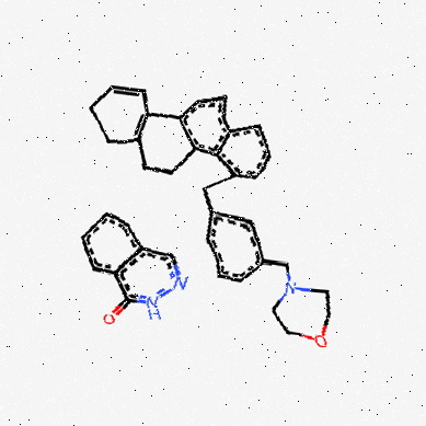 C1=CC2=C(CC1)CCc1c2ccc2cccc(Cc3cccc(CN4CCOCC4)c3)c12.O=c1[nH]ncc2ccccc12